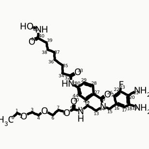 CCOCCOCCOC(=O)NCCN(Cc1cc(N)c(N)c(F)c1)C(=O)c1ccc(NC(=O)CCCCCCC(=O)NO)cc1